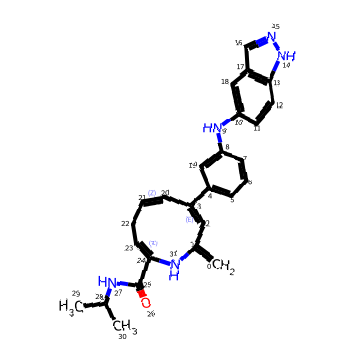 C=C1/C=C(c2cccc(Nc3ccc4[nH]ncc4c3)c2)\C=C/C/C=C(/C(=O)NC(C)C)N1